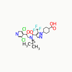 CC1(C)C[C@@H]1N(CC(=O)c1c(Cl)cncc1Cl)C(=O)c1cnn(C2CCC(C(=O)O)CC2)c1C(F)(F)F